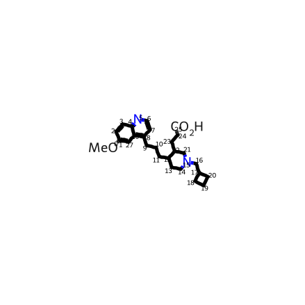 COc1ccc2nccc(CCCC3CCN(CC4CCC4)CC3CCC(=O)O)c2c1